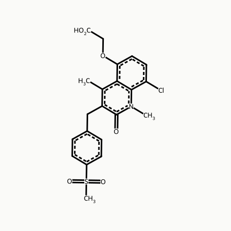 Cc1c(Cc2ccc(S(C)(=O)=O)cc2)c(=O)n(C)c2c(Cl)ccc(OCC(=O)O)c12